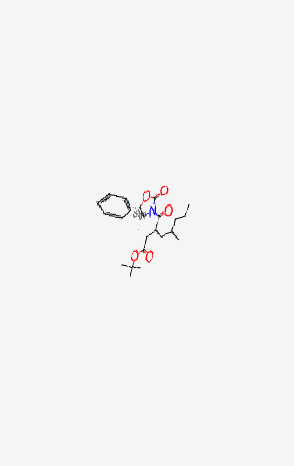 CCCC(C)CC(CC(=O)OC(C)(C)C)C(=O)N1C(=O)O[C@@H](c2ccccc2)[C@H]1C